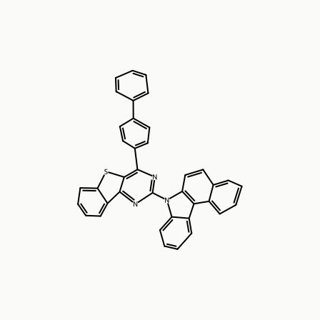 c1ccc(-c2ccc(-c3nc(-n4c5ccccc5c5c6ccccc6ccc54)nc4c3sc3ccccc34)cc2)cc1